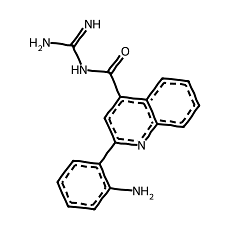 N=C(N)NC(=O)c1cc(-c2ccccc2N)nc2ccccc12